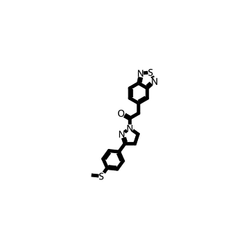 CSc1ccc(C2=NN(C(=O)Cc3ccc4nsnc4c3)CC2)cc1